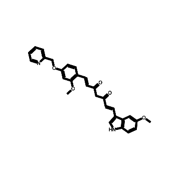 COc1ccc2[nH]cc(C=CC(=O)CC(=O)C=Cc3ccc(OCc4ccccn4)cc3OC)c2c1